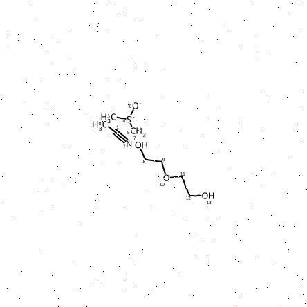 CC#N.C[S+](C)[O-].OCCOCCO